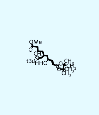 COC(=O)CCCC(C[C@H](O)/C=C/B1OC(C)(C)C(C)(C)O1)C[SiH](C)C(C)(C)C